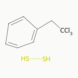 ClC(Cl)(Cl)Cc1ccccc1.SS